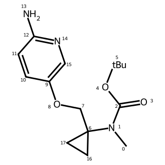 CN(C(=O)OC(C)(C)C)C1(COc2ccc(N)nc2)CC1